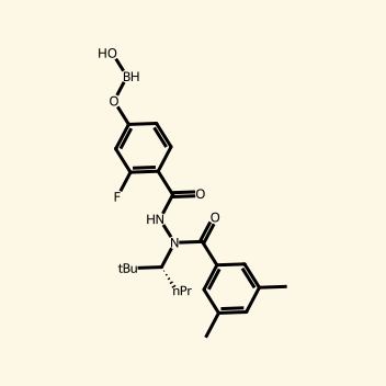 CCC[C@@H](N(NC(=O)c1ccc(OBO)cc1F)C(=O)c1cc(C)cc(C)c1)C(C)(C)C